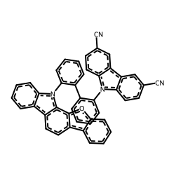 N#Cc1ccc2c(c1)c1cc(C#N)ccc1n2-c1ccccc1-c1ccccc1-n1c2ccccc2c2ccc3c4ccccc4oc3c21